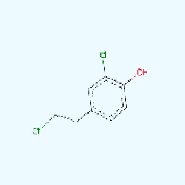 Oc1ccc(CCCl)cc1Cl